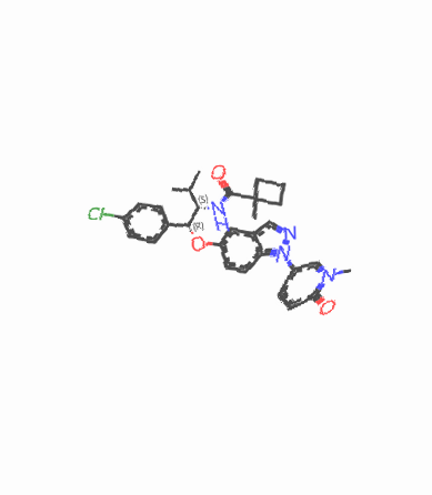 CC(C)[C@H](NC(=O)C1(C)CCC1)[C@H](Oc1ccc2c(cnn2-c2ccc(=O)n(C)c2)c1)c1ccc(Cl)cc1